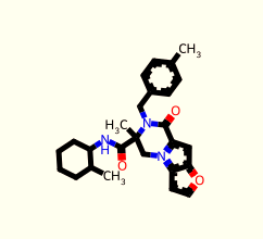 Cc1ccc(CN2C(=O)c3cc4occc4n3CC2(C)C(=O)NC2CCCCC2C)cc1